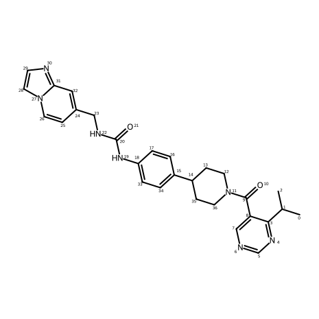 CC(C)c1ncncc1C(=O)N1CCC(c2ccc(NC(=O)NCc3ccn4ccnc4c3)cc2)CC1